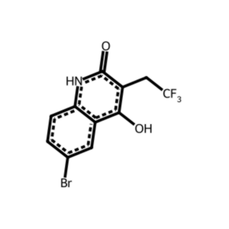 O=c1[nH]c2ccc(Br)cc2c(O)c1CC(F)(F)F